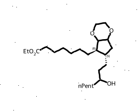 CCCCCC(O)CC[C@H]1CC2OCCOC2[C@@H]1CCCCCCC(=O)OCC